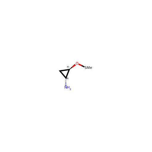 CSO[C@@H]1C[C@H]1N